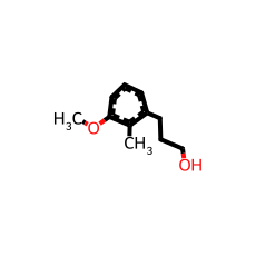 COc1cccc(CCCO)c1C